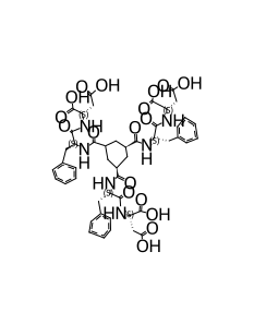 O=C(O)C[C@H](NC(=O)[C@H](Cc1ccccc1)NC(=O)C1C[C@H](C(=O)N[C@@H](Cc2ccccc2)C(=O)N[C@@H](CC(=O)O)C(=O)O)C[C@H](C(=O)N[C@@H](Cc2ccccc2)C(=O)N[C@@H](CC(=O)O)C(=O)O)C1)C(=O)O